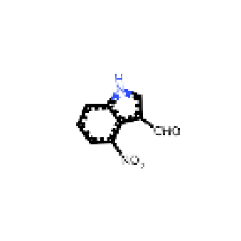 O=Cc1c[nH]c2cccc([N+](=O)[O-])c12